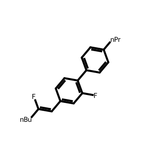 CCCCC(F)=Cc1ccc(-c2ccc(CCC)cc2)c(F)c1